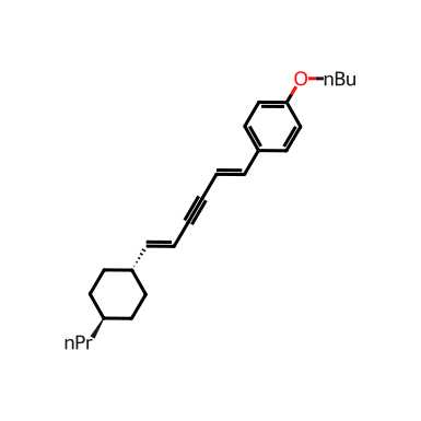 CCCCOc1ccc(C=CC#CC=C[C@H]2CC[C@H](CCC)CC2)cc1